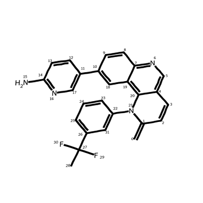 C=C1C=Cc2cnc3ccc(-c4ccc(N)nc4)cc3c2N1c1cccc(C(C)(F)F)c1